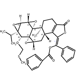 CSCO[C@@H]1[C@@]2(C(C)C)O[C@H]2[C@@H]2O[C@]23[C@]12O[C@H]2C[C@H]1C2=C(CC[C@@]13C)C(=O)O/C2=C(/OC(=O)c1ccccc1)c1ccccc1